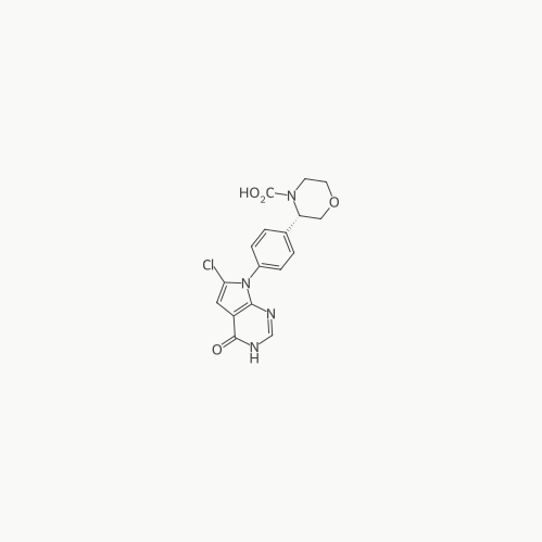 O=C(O)N1CCOC[C@@H]1c1ccc(-n2c(Cl)cc3c(=O)[nH]cnc32)cc1